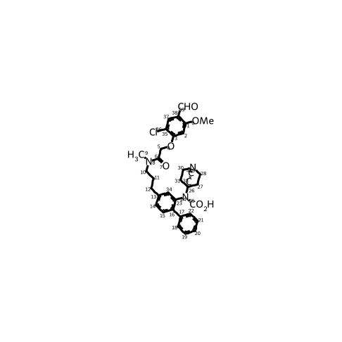 COc1cc(OCC(=O)N(C)CCCc2ccc(-c3ccccc3)c(N(C(=O)O)C34CCN(CC3)CC4)c2)c(Cl)cc1C=O